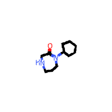 O=C1CNCCCN1C1CCCCC1